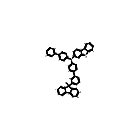 CC1(c2cccc(-c3ccc(N(c4ccc(-c5ccccc5)cc4)c4ccc5c(c4)oc4ccccc45)cc3)c2)c2ccccc2-c2ccccc21